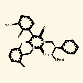 CCCCCN[C@@H](Cn1c(=O)c(-c2cccc(OC)c2F)c(C)n(Cc2c(C)cccc2F)c1=O)c1ccccc1